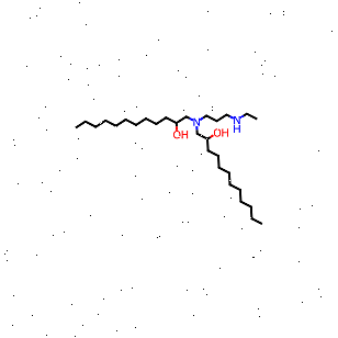 CCCCCCCCCCC(O)CN(CCCNCC)CC(O)CCCCCCCCCC